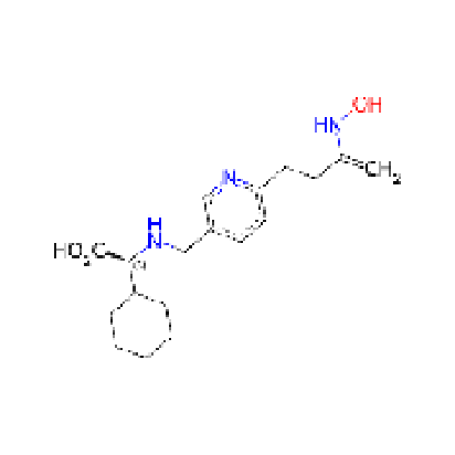 C=C(CCc1ccc(CN[C@H](C(=O)O)C2CCCCC2)cn1)NO